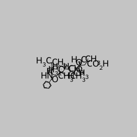 C=C(C)[C@@H]1CC[C@]2(NC(=O)c3ccccc3)CC[C@]3(C)[C@H](CC[C@@H]4[C@@]5(C)CC[C@H](OC(=O)CC(C)(C)C(=O)O)C(C)(C)[C@@H]5CC[C@]43C)[C@@H]12